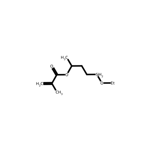 C=C(C)C(=O)OC(C)CC[SiH2]OCC